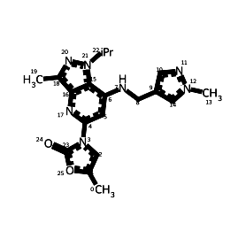 Cc1cn(-c2cc(NCc3cnn(C)c3)c3c(n2)c(C)nn3C(C)C)c(=O)o1